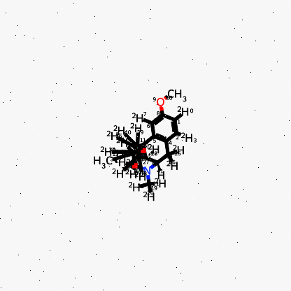 [2H]c1c([2H])c2c(c([2H])c1OC)[C@@]13C([2H])([2H])C([2H])([2H])N(C([2H])([2H])[2H])[C@@H](C2([2H])[2H])[C@@]1([2H])C([2H])([2H])C([2H])(C)C([2H])([2H])C3([2H])[2H]